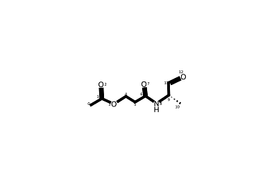 CC(=O)OCCC(=O)N[C@@H](C)[C]=O